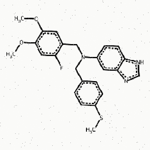 COc1cc(F)c(CN(Cc2ccc(SC)cc2)c2ccc3[nH]cnc3c2)cc1OC